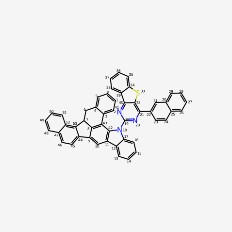 c1ccc2c(c1)CC1c3c(cc4c5ccccc5n(-c5nc(-c6ccc7ccccc7c6)c6sc7ccccc7c6n5)c4c3-2)-c2ccc3ccccc3c21